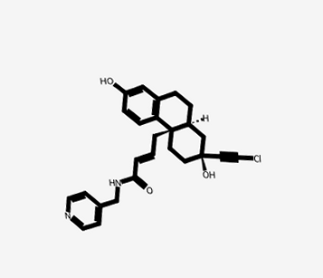 O=C(/C=C/C[C@]12CC[C@@](O)(C#CCl)C[C@@H]1CCc1cc(O)ccc12)NCc1ccncc1